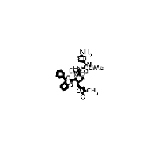 CO/N=C(\C(=O)N[C@@H]1C(=O)N2C(C(=O)OC(c3ccccc3)c3ccccc3)=C(/C=C3\C=C(C)C(=O)O3)CS[C@H]12)c1csc(N)n1